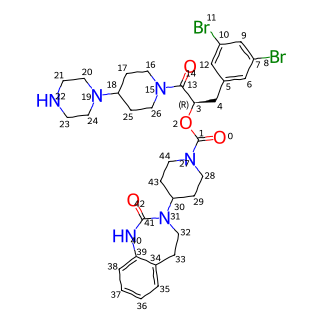 O=C(O[C@H](Cc1cc(Br)cc(Br)c1)C(=O)N1CCC(N2CCNCC2)CC1)N1CCC(N2CCc3ccccc3NC2=O)CC1